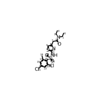 CCN(CC)C(=O)Cc1csc(NS(=O)(=O)c2c(C)cc(Cl)cc2Cl)n1